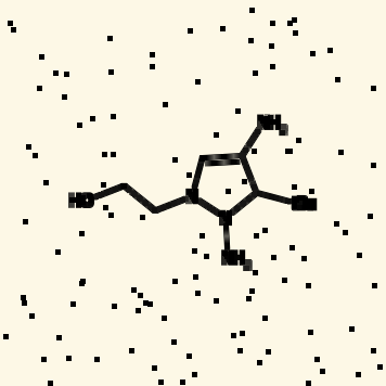 CC(C)(C)C1C(N)=CN(CCO)N1N